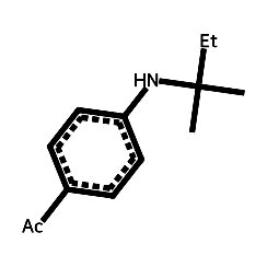 CCC(C)(C)Nc1ccc(C(C)=O)cc1